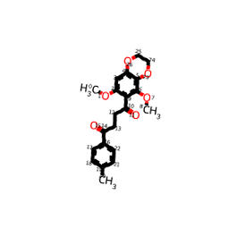 COc1cc2c(c(OC)c1C(=O)CCC(=O)c1ccc(C)cc1)OCCO2